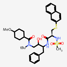 COC1CCC(C(=O)N(CC(O)C(Cc2ccccc2)NC(=O)[C@@H](CSc2ccc3ccccc3c2)NS(C)(=O)=O)C(C)(C)C)CC1